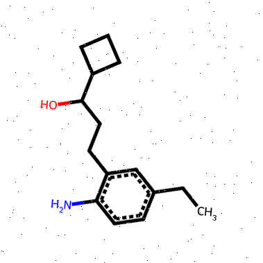 CCc1ccc(N)c(CCC(O)C2CCC2)c1